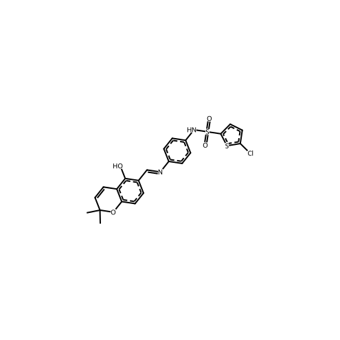 CC1(C)C=Cc2c(ccc(C=Nc3ccc(NS(=O)(=O)c4ccc(Cl)s4)cc3)c2O)O1